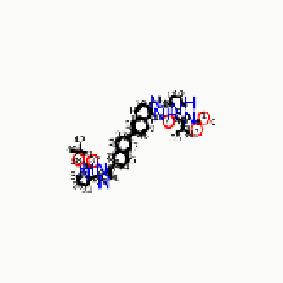 COC(=O)N[C@H](C(=O)N1CCC[C@H]1c1nc2ccc3cc(-c4ccc5cc(-c6cnc(C7CCCN7C(=O)OC(C)(C)C)[nH]6)ccc5c4)ccc3c2[nH]1)C(C)C